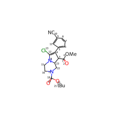 COC(=O)C1C(c2cccc(C#N)c2)=C(Cl)N2CCN(C(=O)OC(C)(C)C)CC12